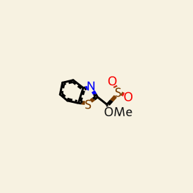 COC(c1nc2ccccc2s1)=S(=O)=O